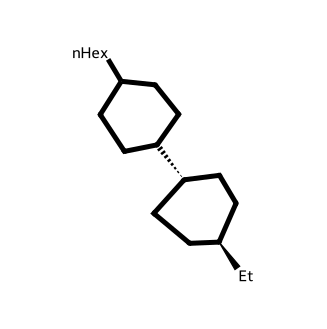 CCCCCCC1CCC([C@H]2CC[C@H](CC)CC2)CC1